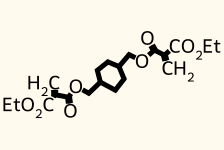 C=C(C(=O)OCC)C(=O)OCC1CCC(COC(=O)C(=C)C(=O)OCC)CC1